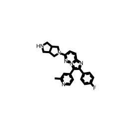 Cc1cc(-c2c(-c3ccc(F)cc3)nc3ccc(N4CC5CNCC5C4)nn23)ccn1